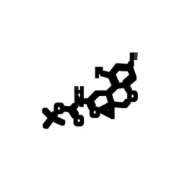 CC(C)(C)OC(=O)NC(=O)CC1c2c(F)cc(F)cc2OCC12CC2